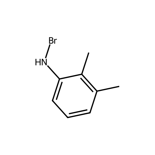 Cc1cccc(NBr)c1C